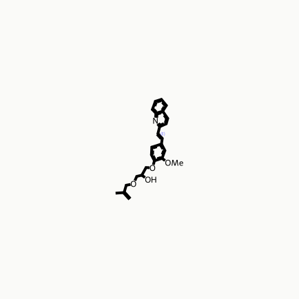 C=C(C)COCC(O)COc1ccc(/C=C/c2ccc3ccccc3n2)cc1OC